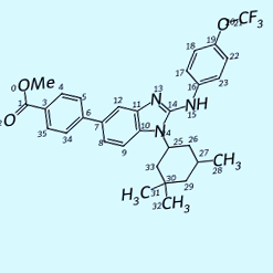 COC(=O)c1ccc(-c2ccc3c(c2)nc(Nc2ccc(OC(F)(F)F)cc2)n3C2CC(C)CC(C)(C)C2)cc1